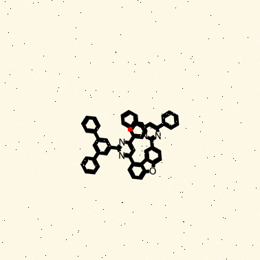 c1ccc(-c2cc(-c3ccccc3)cc(-c3nc(-c4ccccc4)cc(-c4cccc5oc6ccc(-c7nc(-c8ccccc8)cc(-c8ccccc8)n7)cc6c45)n3)c2)cc1